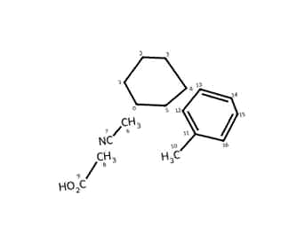 C1CCCCC1.CC#N.CC(=O)O.Cc1ccccc1